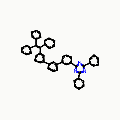 c1ccc(C(=C(c2ccccc2)c2cccc(-c3cccc(-c4cccc(-c5nc(-c6ccccc6)nc(-c6ccccc6)n5)c4)c3)c2)c2ccccc2)cc1